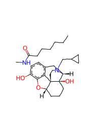 CCCCCCC(=O)NC.Oc1ccc2c3c1O[C@H]1CCC[C@@]4(O)[C@@H](C2)N(CC2CC2)CC[C@]314